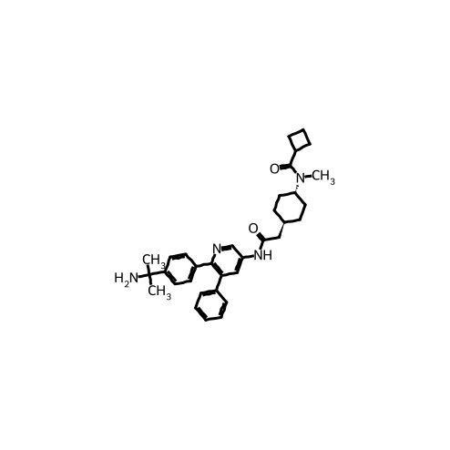 CN(C(=O)C1CCC1)[C@H]1CC[C@H](CC(=O)Nc2cnc(-c3ccc(C(C)(C)N)cc3)c(-c3ccccc3)c2)CC1